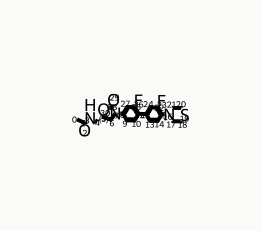 CC(=O)NC[C@H]1CN(c2ccc(-c3ccc(N4CCSCC4)c(F)c3)c(F)c2)C(=O)O1